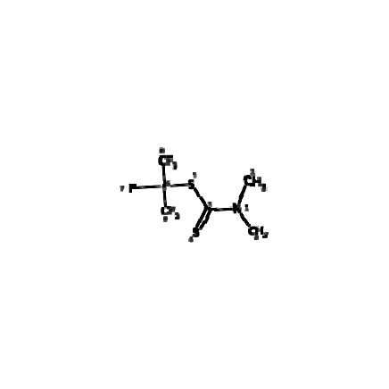 CN(C)C(=S)SC(F)(C(F)(F)F)C(F)(F)F